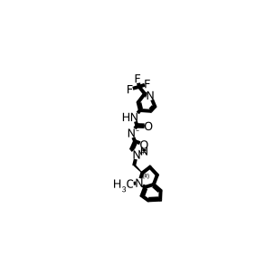 CN1c2ccccc2CC[C@@H]1C[n+]1cc([N-]C(=O)Nc2ccnc(C(F)(F)F)c2)on1